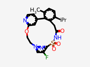 Cc1ccc(C(C)C)c2c1-c1ccnc(c1)OCCn1cc(F)c(n1)S(=O)(=O)NC(=O)C2